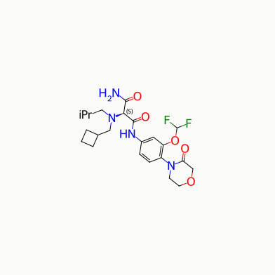 CC(C)CN(CC1CCC1)[C@@H](C(N)=O)C(=O)Nc1ccc(N2CCOCC2=O)c(OC(F)F)c1